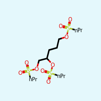 CCCS(=O)(=O)OCCCC(COS(=O)(=O)CCC)OS(=O)(=O)CCC